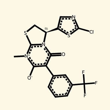 C[n+]1c([O-])c(-c2cccc(C(F)(F)F)c2)c(=O)n2c1SC[C@H]2c1cnc(Cl)s1